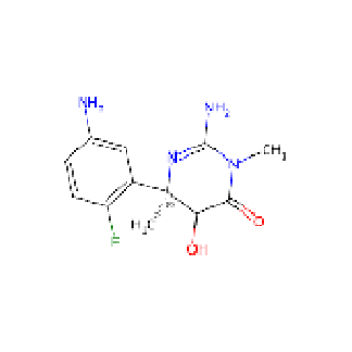 CN1C(=O)C(O)[C@@](C)(c2cc(N)ccc2F)N=C1N